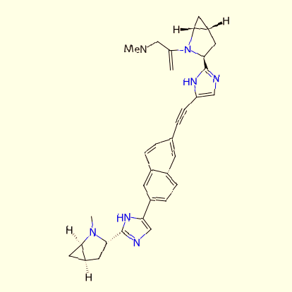 C=C(CNC)N1[C@@H]2C[C@@H]2C[C@H]1c1ncc(C#Cc2ccc3cc(-c4cnc([C@@H]5C[C@H]6C[C@H]6N5C)[nH]4)ccc3c2)[nH]1